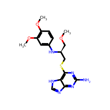 COC[C@@H](CSc1nc(N)nc2nc[nH]c12)Nc1ccc(OC)c(OC)c1